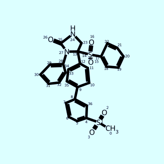 CS(=O)(=O)c1cccc(-c2ccc(C3(S(=O)(=O)c4ccccc4)CNC(=O)N3c3ccccc3)cc2)c1